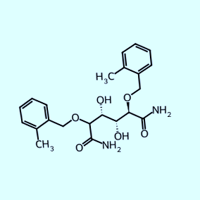 Cc1ccccc1COC(C(N)=O)[C@H](O)[C@@H](O)[C@@H](OCc1ccccc1C)C(N)=O